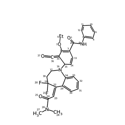 CCOC1=C(C(=O)Nc2ccccc2)C=CC(N2CCC(F)(F)C(=CC(=O)N(C)C)c3ccccc32)C1=C=O